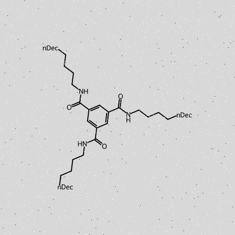 CCCCCCCCCCCCCCNC(=O)c1cc(C(=O)NCCCCCCCCCCCCCC)cc(C(=O)NCCCCCCCCCCCCCC)c1